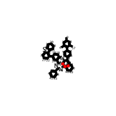 Cc1cc(C)c(-c2ccc3c4ccccc4n(-c4ccc(-c5cccc6sc7ccccc7c56)cc4-c4nc(-c5ccccc5)nc(-c5ccccc5)n4)c3c2)c(C)c1